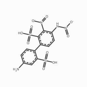 Nc1ccc(-c2ccc(N[N+](=O)[O-])c([N+](=O)[O-])c2S(=O)(=O)O)c(S(=O)(=O)O)c1